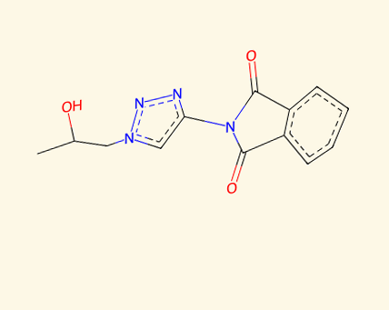 CC(O)Cn1cc(N2C(=O)c3ccccc3C2=O)nn1